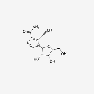 C#Cc1c(C(N)=O)ncn1C1O[C@@H](CO)[C@H](O)[C@@H]1O